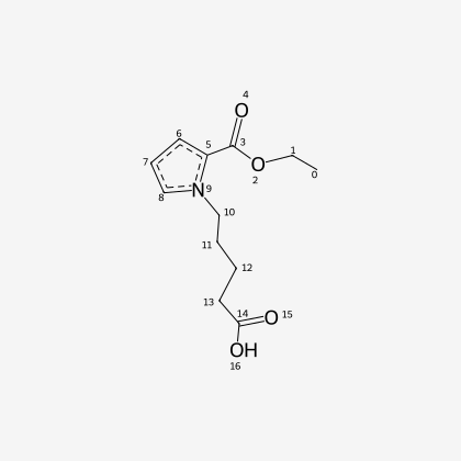 CCOC(=O)c1cccn1CCCCC(=O)O